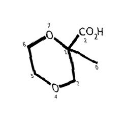 CC1(C(=O)O)COCCO1